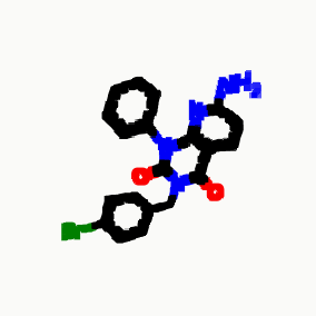 Nc1ccc2c(=O)n(Cc3ccc(Br)cc3)c(=O)n(-c3ccccc3)c2n1